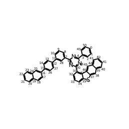 c1ccc(-c2nc(-c3cccc(-c4ccc(-c5ccc6ccccc6c5)cc4)c3)nc(-c3cccc4sc5cc6ccccc6cc5c34)n2)cc1